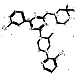 CC1CN(c2ncccc2C(F)(F)F)CCN1c1nc(CN2CCOC(C)(C)C2)nc(-c2cccc(C(F)(F)F)c2)n1